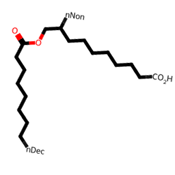 CCCCCCCCCCCCCCCCCC(=O)OCC(CCCCCCCCC)CCCCCCCC(=O)O